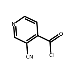 N#Cc1cnccc1C(=O)Cl